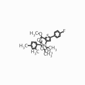 CCOP(=O)(c1ccc(C)cc1C)N(c1cc(-c2ccc(F)cc2)sc1C(=O)OC)C(C)C